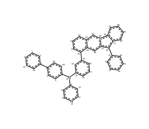 c1ccc(-c2ccc(N(c3ccncc3)c3cccc(-c4cccc5cn6c(cc45)c(-c4ccccc4)c4ccccc46)c3)cc2)cc1